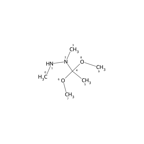 CNN(C)C(C)(OC)OC